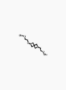 CC(C)(C)OCCON1CC2(CN(CCOC(C)(C)C)C2)C1